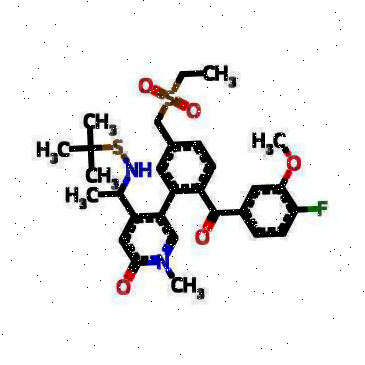 CCS(=O)(=O)Cc1ccc(C(=O)c2ccc(F)c(OC)c2)c(-c2cn(C)c(=O)cc2C(C)NSC(C)(C)C)c1